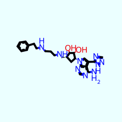 Nc1ncnc2c1c(-c1ncn[nH]1)cn2[C@@H]1C[C@H](CNCCCNCCc2ccccc2)[C@@H](O)[C@H]1O